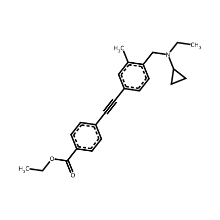 CCOC(=O)c1ccc(C#Cc2ccc(CN(CC)C3CC3)c(C)c2)cc1